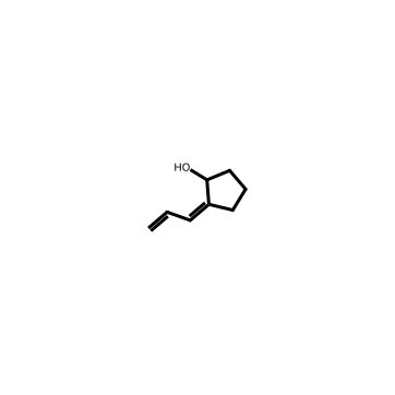 C=CC=C1CCCC1O